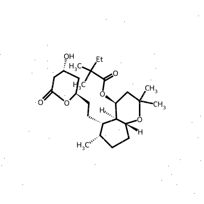 CCC(C)(C)C(=O)O[C@H]1CC(C)(C)O[C@@H]2CC[C@H](C)[C@H](CC[C@@H]3C[C@@H](O)CC(=O)O3)[C@@H]12